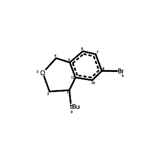 CC(C)(C)C1COCc2ccc(Br)cc21